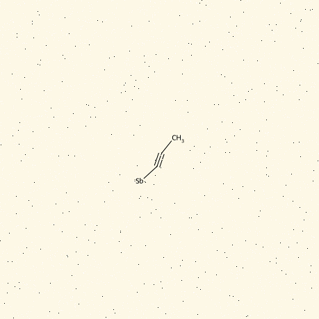 CC#[C][Sb]